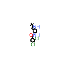 CC(C)(C)c1cc2cc(NC(=O)c3ccc(Cl)cc3Cl)ccc2[nH]1